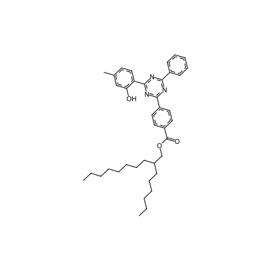 CCCCCCCCC(CCCCCC)COC(=O)c1ccc(-c2nc(-c3ccccc3)nc(-c3ccc(C)cc3O)n2)cc1